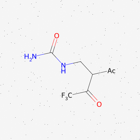 CC(=O)C(CNC(N)=O)C(=O)C(F)(F)F